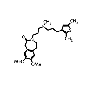 COc1cc2c(cc1OC)CC(=O)N(CCCN(C)CCCc1cc(C)sc1C)CC2